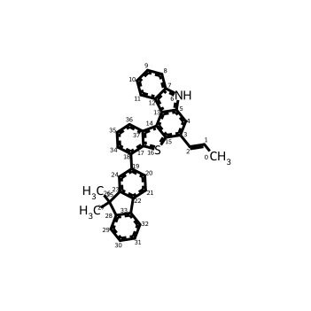 C/C=C/c1cc2[nH]c3ccccc3c2c2c1sc1c(-c3ccc4c(c3)C(C)(C)c3ccccc3-4)cccc12